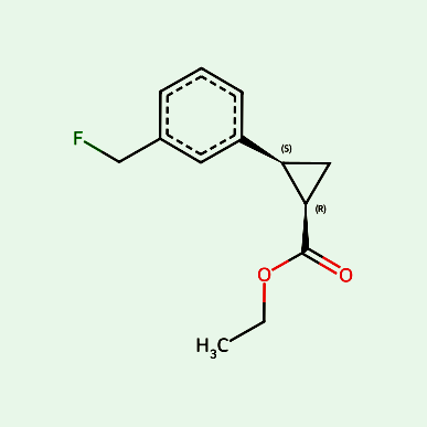 CCOC(=O)[C@@H]1C[C@@H]1c1cccc(CF)c1